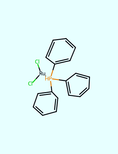 [Cl][Ru]([Cl])[PH](c1ccccc1)(c1ccccc1)c1ccccc1